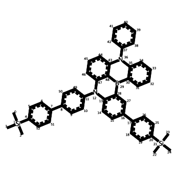 C[Si](C)(C)c1ccc(-c2ccc(N3c4ccc(-c5ccc([Si](C)(C)C)cc5)cc4B4c5ccccc5N(c5ccccc5)c5cccc3c54)cc2)cc1